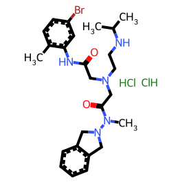 Cc1ccc(Br)cc1NC(=O)CN(CCNC(C)C)CC(=O)N(C)N1Cc2ccccc2C1.Cl.Cl